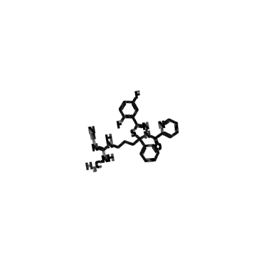 CN/C(=N/C#N)NCCCC1(c2ccccc2)SC(c2cc(F)ccc2F)=NN1C(=O)c1ccccn1